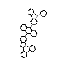 c1ccc(-n2c3ccccc3c3cc(-c4c5ccccc5c(-c5ccc6sc7c8ccccc8c8ccccc8c7c6c5)c5ccccc45)ccc32)cc1